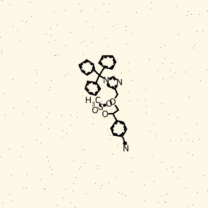 CS(=O)(=O)OC(COCc1cn(C(c2ccccc2)(c2ccccc2)c2ccccc2)cn1)c1ccc(C#N)cc1